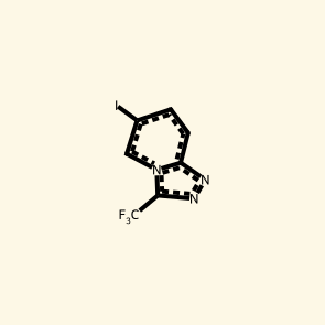 FC(F)(F)c1nnc2ccc(I)cn12